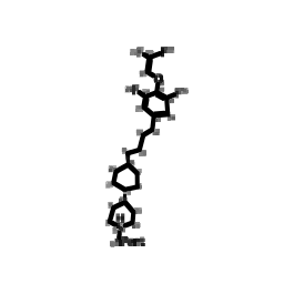 CCCCC[SiH]1CCC([C@H]2CC[C@H](CCCCc3cc(F)c(OC=C(F)F)c(F)c3)CC2)CC1